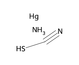 N.N#CS.[Hg]